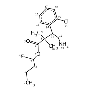 CCCC(F)OC(=O)C(C)(C)C(CN)c1ccccc1Cl